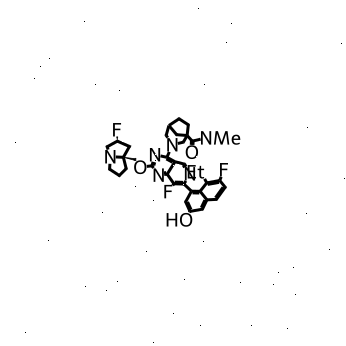 CCc1c(F)ccc2cc(O)cc(-c3ncc4c(N5CC6CCC(C(=O)NC)(C6)C5)nc(OC[C@@]56CCCN5C[C@H](F)C6)nc4c3F)c12